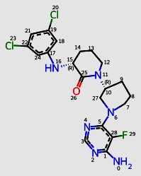 Nc1ncnc(N2CCC[C@@H](N3CCC[C@@H](Nc4cc(Cl)cc(Cl)c4)C3=O)C2)c1F